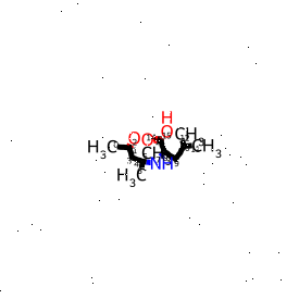 CC(=O)CC(C)(C)NC(CC(C)C)C(=O)O